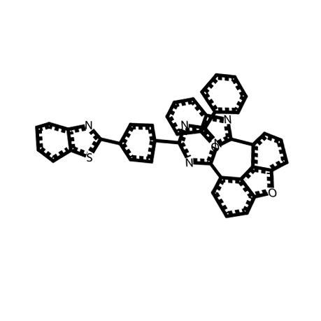 c1ccc(-c2nc(-c3ccc(-c4nc5ccccc5s4)cc3)nc(-c3cccc4oc5cccc(-c6nc7ccccc7o6)c5c34)n2)cc1